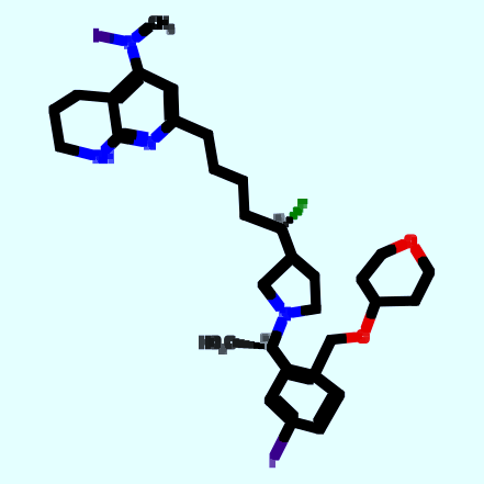 CN(I)c1cc(CCCC[C@H](F)C2CCN([C@@H](C(=O)O)c3cc(I)ccc3COC3CCOCC3)C2)nc2c1CCCN2